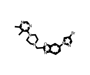 Cc1ncnc(N2CCN(Cc3nc4ccc(-n5cc(Br)cn5)cc4o3)CC2)c1C